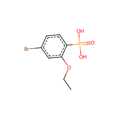 CCOc1cc(Br)ccc1P(=O)(O)O